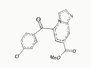 COC(=O)c1cc(C(=O)c2ccc(Cl)cc2)n2ccnc2c1